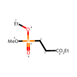 CCOC(=O)CCP(=O)(OC)OCC